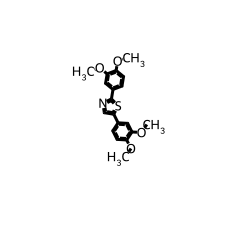 COc1ccc(-c2cnc(-c3ccc(OC)c(OC)c3)s2)cc1OC